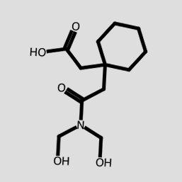 O=C(O)CC1(CC(=O)N(CO)CO)CCCCC1